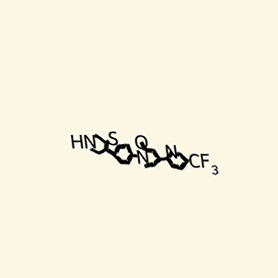 O=c1cc(-c2ccc(C(F)(F)F)cn2)ccn1-c1ccc2c3c(sc2c1)CNCC3